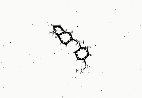 FC(F)(F)Oc1ccc(Nc2ccc3[nH]ccc3c2)nc1